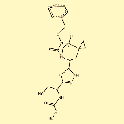 CC(C)(C)OC(=O)NC(CO)C1=NNC(C2CC3(CC3)[C@@H]3CN2C(=O)N3OCc2ccccc2)O1